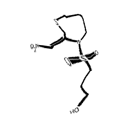 O=[N+]([O-])/C=C1\SCCCN1S(=O)(=O)CCCO